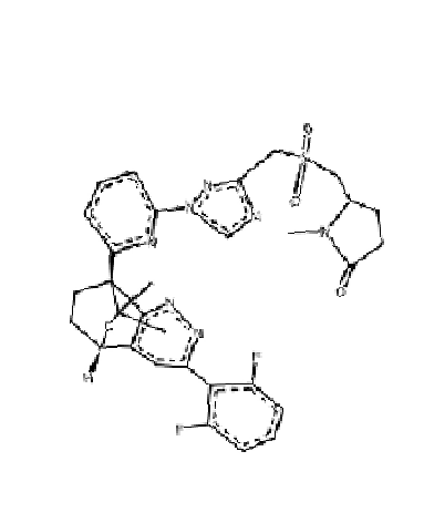 CN1C(=O)CCC1CS(=O)(=O)Cc1ncn(-c2cccc([C@]34CC[C@H](CC3(C)C)c3cc(-c5c(F)cccc5F)nnc34)n2)n1